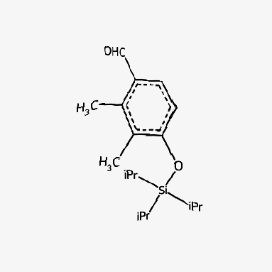 Cc1c(C=O)ccc(O[Si](C(C)C)(C(C)C)C(C)C)c1C